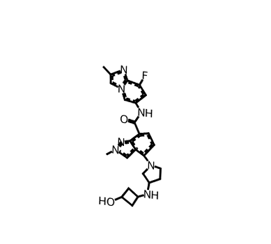 Cc1cn2cc(NC(=O)c3ccc(N4CCC(NC5CC(O)C5)C4)c4cn(C)nc34)cc(F)c2n1